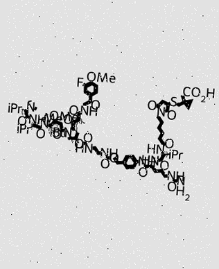 CC[C@H](C)C([C@@H](CC(=O)N1C[C@@H](OC(=O)NCCNC(=O)OCc2ccc(NC(=O)C(CCCNC(N)=O)NC(=O)[C@@H](NC(=O)CCCCCN3C(=O)CC(SCC4(CC(=O)O)CC4)C3=O)C(C)C)cc2)C[C@H]1[C@H](OC)[C@@H](C)C(=O)NCC(=O)c1ccc(OC)c(F)c1)OC)N(C)C(=O)[C@@H](NC(=O)[C@H](C(C)C)N(C)C)C(C)C